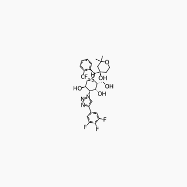 CC1(C)C[C@@](O)([C@H](c2ccccc2C(F)(F)F)[SH]2C[C@H](O)[C@H](n3cc(-c4cc(F)c(F)c(F)c4)nn3)[C@@H](O)[C@H]2CO)CCO1